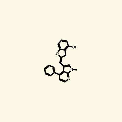 Cn1cc(C=C2Cc3c(O)cccc3O2)c2c(-c3ccccc3)ccnc21